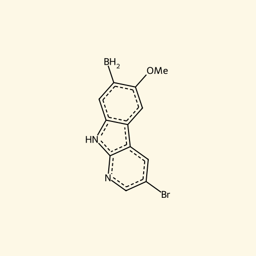 Bc1cc2[nH]c3ncc(Br)cc3c2cc1OC